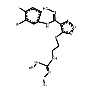 CCCN/C(=N\SCC)NCCSc1nonc1/C(=N/O)Nc1ccc(F)c(Br)c1